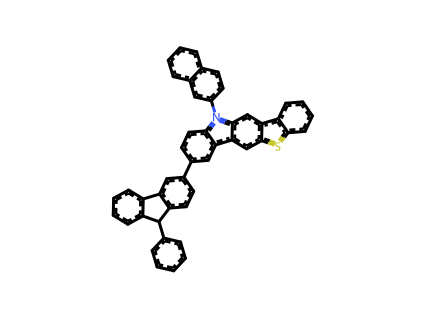 c1ccc(C2c3ccccc3-c3cc(-c4ccc5c(c4)c4cc6sc7ccccc7c6cc4n5-c4ccc5ccccc5c4)ccc32)cc1